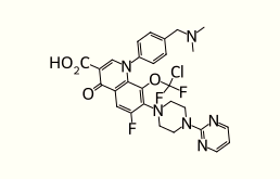 CN(C)Cc1ccc(-n2cc(C(=O)O)c(=O)c3cc(F)c(N4CCN(c5ncccn5)CC4)c(OC(F)(F)Cl)c32)cc1